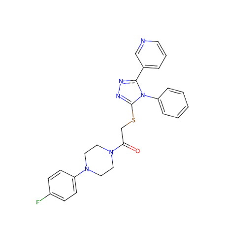 O=C(CSc1nnc(-c2cccnc2)n1-c1ccccc1)N1CCN(c2ccc(F)cc2)CC1